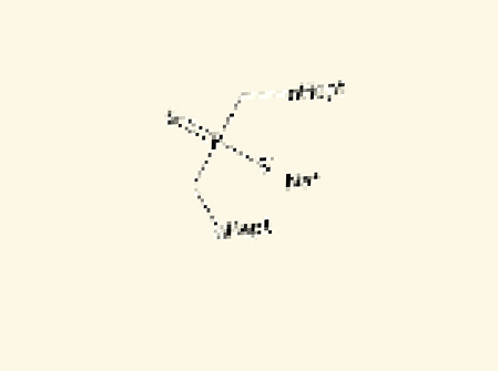 CCCCCCCCP(=S)([S-])CCCCCCCC.[Na+]